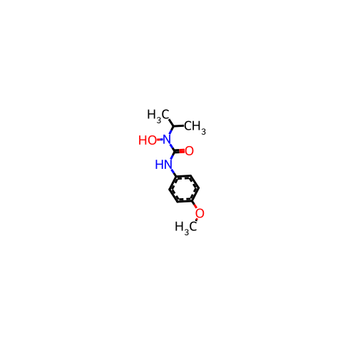 COc1ccc(NC(=O)N(O)C(C)C)cc1